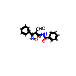 O=Cc1c(-c2ccccc2)noc1NC(=O)c1ccccc1